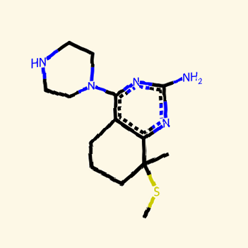 CSC1(C)CCCc2c(N3CCNCC3)nc(N)nc21